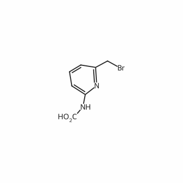 O=C(O)Nc1cccc(CBr)n1